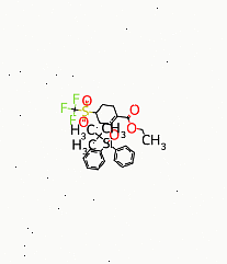 CCOC(=O)C1=C(O[Si](c2ccccc2)(c2ccccc2)C(C)(C)C)CC(S(=O)(=O)C(F)(F)F)CC1